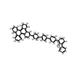 c1ccc2c(c1)oc1c(-c3ccc(-c4ccc(-c5ccc(-c6ccc7c(c6)c6ccccc6c6c8ccccc8c8ccccc8c76)cc5)cc4)cc3)cccc12